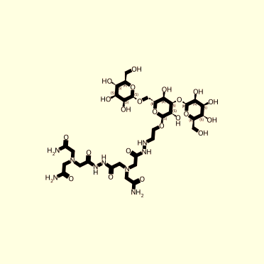 NC(=O)CN(CC(N)=O)CC(=O)NNC(=O)CN(CC(N)=O)CC(=O)NNCCO[C@H]1O[C@H](CO[C@H]2O[C@H](CO)[C@@H](O)[C@H](O)[C@@H]2O)[C@@H](O)[C@H](O[C@H]2O[C@H](CO)[C@@H](O)[C@H](O)[C@@H]2O)[C@@H]1O